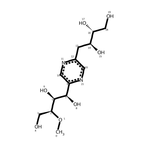 CO[C@@H](CO)[C@@H](O)[C@H](O)c1cnc(C[C@H](O)[C@H](O)CO)cn1